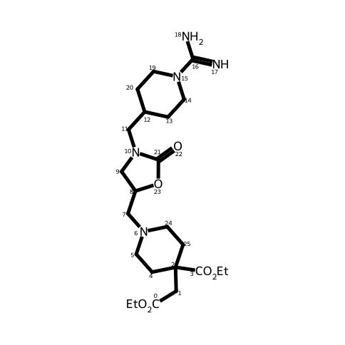 CCOC(=O)CC1(C(=O)OCC)CCN(CC2CN(CC3CCN(C(=N)N)CC3)C(=O)O2)CC1